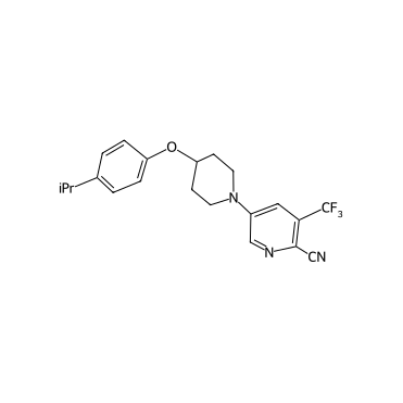 CC(C)c1ccc(OC2CCN(c3cnc(C#N)c(C(F)(F)F)c3)CC2)cc1